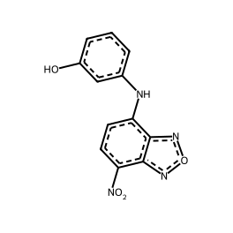 O=[N+]([O-])c1ccc(Nc2cccc(O)c2)c2nonc12